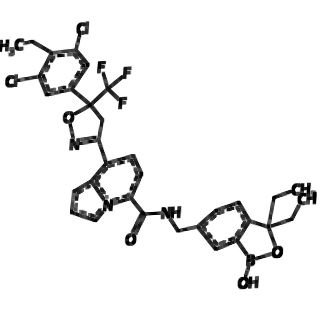 CCc1c(Cl)cc(C2(C(F)(F)F)CC(c3ccc(C(=O)NCc4ccc5c(c4)B(O)OC5(CC)CC)n4cccc34)=NO2)cc1Cl